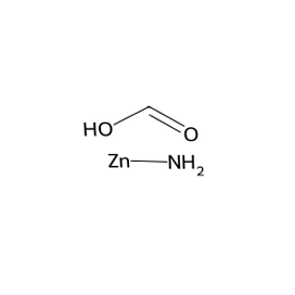 O=CO.[NH2][Zn]